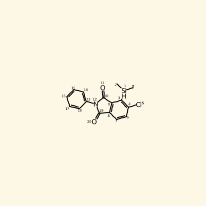 C[SiH](C)c1c(Cl)ccc2c1C(=O)N(c1ccccc1)C2=O